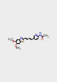 COc1cc2nc(C=CC=Cc3ccc(NC(C)=O)nc3)sc2cc1OC